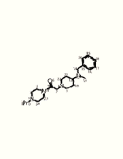 CC(C)N1CCN(C(=O)CN2CCC(N(C)Cc3ccccc3)CC2)CC1